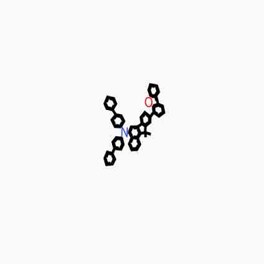 CC1(C)c2cc(-c3cccc4c3oc3ccccc34)ccc2-c2cc(N(c3ccc(-c4ccccc4)cc3)c3ccc(-c4ccccc4)cc3)c3ccccc3c21